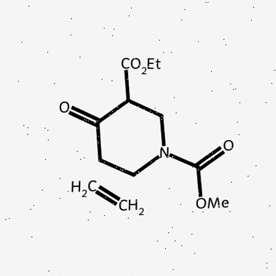 C=C.CCOC(=O)C1CN(C(=O)OC)CCC1=O